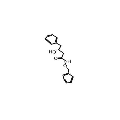 O=C(C[C@H](O)Cc1ccccc1)NOCc1ccccc1